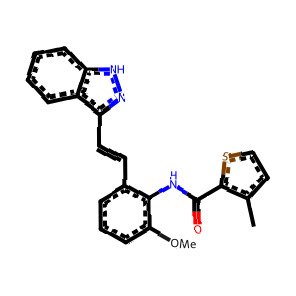 COc1cccc(C=Cc2n[nH]c3ccccc23)c1NC(=O)c1sccc1C